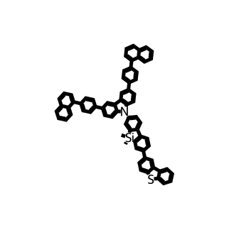 C[Si]1(C)c2cc(-c3ccc4sc5ccccc5c4c3)ccc2-c2ccc(-n3c4ccc(-c5ccc(-c6cccc7ccccc67)cc5)cc4c4cc(-c5ccc(-c6cccc7ccccc67)cc5)ccc43)cc21